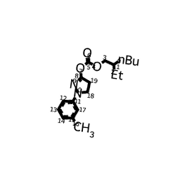 CCCCC(CC)COC(=O)OC1=NN(c2cccc(C)c2)CC1